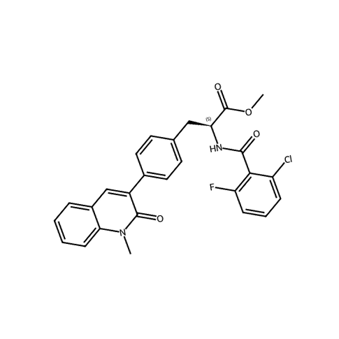 COC(=O)[C@H](Cc1ccc(-c2cc3ccccc3n(C)c2=O)cc1)NC(=O)c1c(F)cccc1Cl